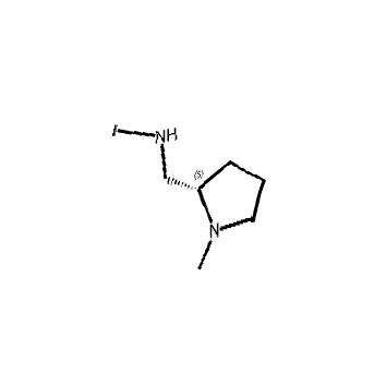 CN1CCC[C@H]1CNI